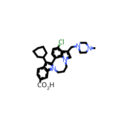 CN1CCN(Cc2cn3c4c(ccc(Cl)c24)-c2c(C4CCCCC4)c4ccc(C(=O)O)cc4n2CCC3)CC1